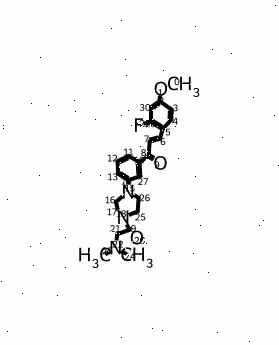 COc1ccc(C=CC(=O)c2cccc(N3CCN(C(=O)CN(C)C)CC3)c2)c(F)c1